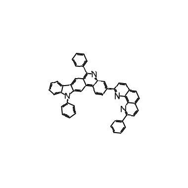 c1ccc(-c2ccc3ccc4ccc(-c5ccc6c(c5)nc(-c5ccccc5)c5cc7c8ccccc8n(-c8ccccc8)c7cc56)nc4c3n2)cc1